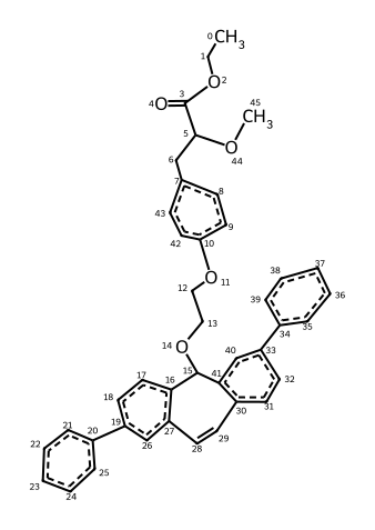 CCOC(=O)C(Cc1ccc(OCCOC2c3ccc(-c4ccccc4)cc3C=Cc3ccc(-c4ccccc4)cc32)cc1)OC